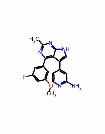 COc1cc(F)cc(-c2nc(C)nc3[nH]cc(-c4ccnc(N)c4)c23)c1